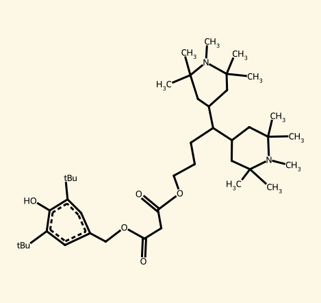 CN1C(C)(C)CC(C(CCCOC(=O)CC(=O)OCc2cc(C(C)(C)C)c(O)c(C(C)(C)C)c2)C2CC(C)(C)N(C)C(C)(C)C2)CC1(C)C